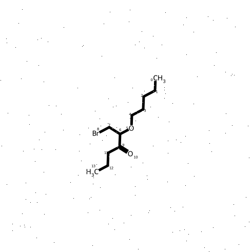 CCCCCOC(CBr)C(=O)CCC